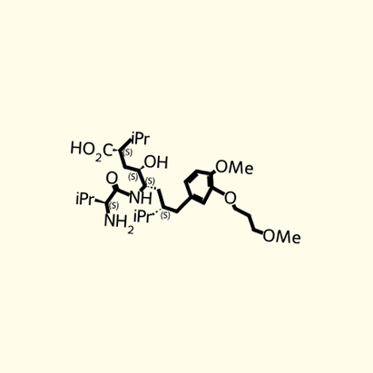 COCCCOc1cc(C[C@@H](C[C@H](NC(=O)[C@@H](N)C(C)C)[C@@H](O)C[C@H](C(=O)O)C(C)C)C(C)C)ccc1OC